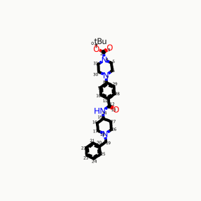 CC(C)(C)OC(=O)N1CCN(c2ccc(C(=O)NC3CCN(Cc4ccccc4)CC3)cc2)CC1